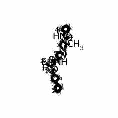 C[C@@H]1CN(c2ccc(NC(=O)c3oc(C4CCC(c5ccccc5)CC4)nc3C(F)(F)F)cn2)CCN1C(=O)Nc1ccccc1F